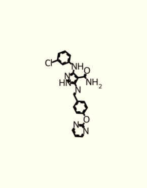 NC(=O)c1c(Nc2cccc(Cl)c2)n[nH]c1/N=C/c1ccc(Oc2ncccn2)cc1